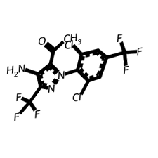 CC(=O)c1c(N)c(C(F)(F)F)nn1-c1c(Cl)cc(C(F)(F)F)cc1Cl